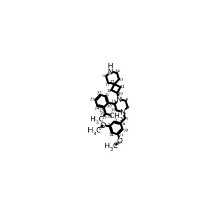 COc1cc(CN2CCN(C3CC4(CCNCC4)C3)C(c3ccccc3C(C)C)C2)cc(OC)c1